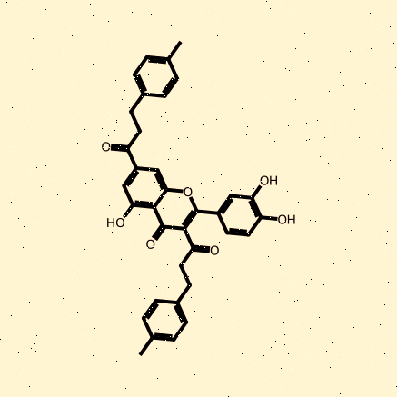 Cc1ccc(CCC(=O)c2cc(O)c3c(=O)c(C(=O)CCc4ccc(C)cc4)c(-c4ccc(O)c(O)c4)oc3c2)cc1